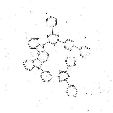 c1ccc(-c2ccc(-c3nc(-c4ccccc4)nc(-n4c5ccccc5c5c6c7ccccc7n(-c7cccc(-c8nc(-c9ccccc9)nc(-c9ccccc9)n8)c7)c6ccc54)n3)cc2)cc1